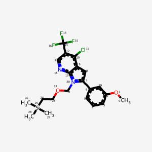 COc1cccc(-c2cc3c(Cl)c(C(F)(F)F)cnc3n2COCC[Si](C)(C)C)c1